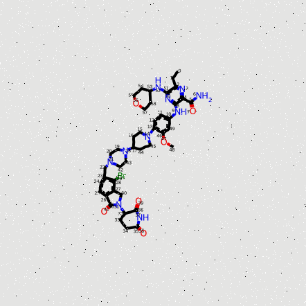 CCc1nc(C(N)=O)c(Nc2ccc(N3CCC(N4CCN(Cc5ccc6c(c5Br)CN(C5CCC(=O)NC5=O)C6=O)CC4)CC3)c(OC)c2)nc1NC1CCOCC1